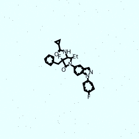 CCC1C(NC(=O)C2CC2)[C@@](F)(Cc2ccccc2)C(=O)N1c1ccc2c(cnn2-c2ccc(F)cc2)c1